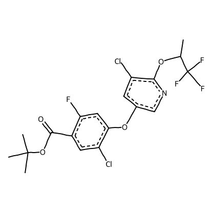 CC(Oc1ncc(Oc2cc(F)c(C(=O)OC(C)(C)C)cc2Cl)cc1Cl)C(F)(F)F